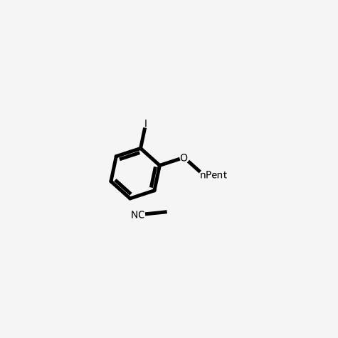 CC#N.CCCCCOc1ccccc1I